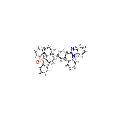 O=P(c1ccccc1)(c1ccccc1)c1ccc(-c2ccc3c(c2)c2ccccc2n2c4ccccc4nc32)c2ccccc12